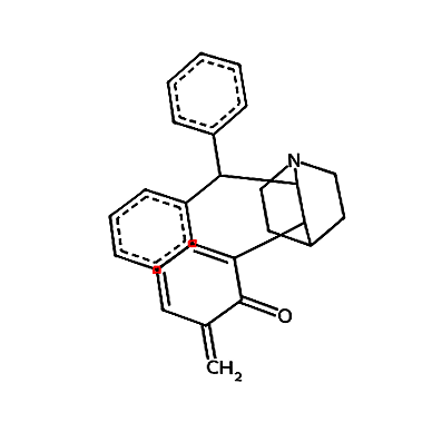 C=C1C=CC=C(C2C3CCN(CC3)C2C(c2ccccc2)c2ccccc2)C1=O